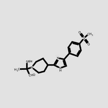 CSC(C)(C=O)N1CCC(c2nc(-c3ccc(S(C)(=O)=O)cc3)c[nH]2)CC1